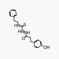 O=C(CCc1ccc(O)cc1)NNC(=S)NCCc1ccccc1